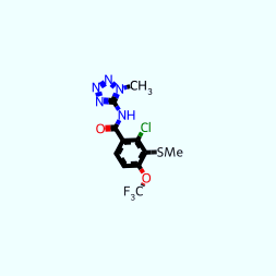 CSc1c(OC(F)(F)F)ccc(C(=O)Nc2nnnn2C)c1Cl